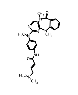 CN(C)C/C=C/C(=O)Nc1ccc(N(C)c2ncc3c(n2)N(C)c2ccccc2C(=O)N3C)cc1